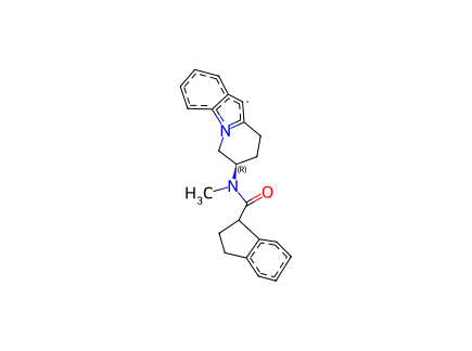 CN(C(=O)C1CCc2ccccc21)[C@@H]1CCc2[c]c3ccccc3n2C1